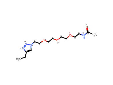 CCc1cn(CCOCCOCCOCCNC(C)=O)nn1